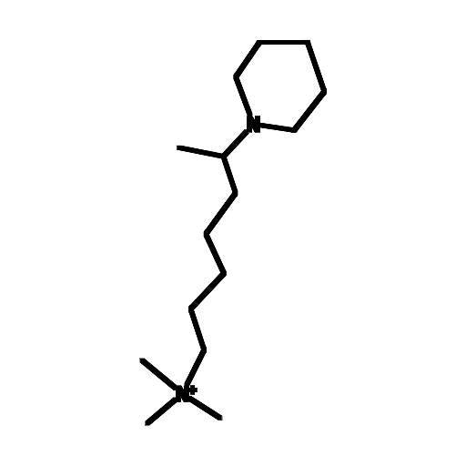 CC(CCCCC[N+](C)(C)C)N1CCCCC1